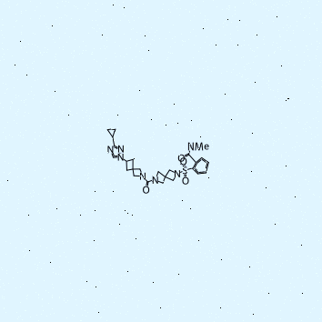 CNC(=O)c1ccccc1S(=O)(=O)N1CC2(CN(C(=O)N3CC4(CC(n5cnc(C6CC6)n5)C4)C3)C2)C1